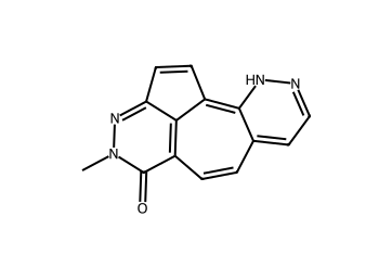 Cn1nc2ccc3c4c(ccc(c2-3)c1=O)=CC=NN4